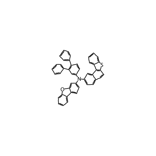 c1ccc(-c2ccc(N(c3ccc4c(c3)oc3ccccc34)c3ccc4ccc5sc6ccccc6c5c4c3)cc2-c2ccccc2)cc1